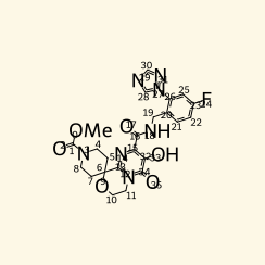 COC(=O)N1CCC2(CC1)OCCn1c2nc(C(=O)NCc2ccc(F)cc2-n2cncn2)c(O)c1=O